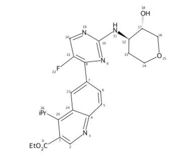 CCOC(=O)c1cnc2ccc(-c3nc(N[C@@H]4CCOC[C@H]4O)ncc3F)cc2c1C(C)C